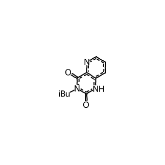 CCC(C)n1c(=O)[nH]c2cccnc2c1=O